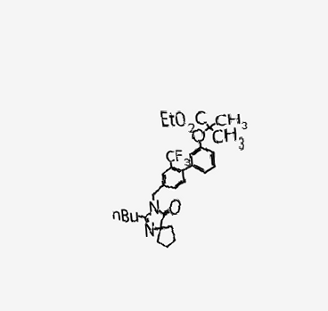 CCCCC1=NC2(CCCC2)C(=O)N1Cc1ccc(-c2cccc(OC(C)(C)C(=O)OCC)c2)c(C(F)(F)F)c1